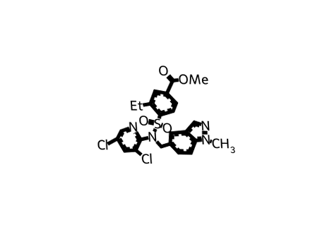 CCc1cc(C(=O)OC)ccc1S(=O)(=O)N(Cc1ccc2c(cnn2C)c1)c1ncc(Cl)cc1Cl